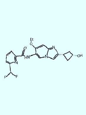 CCOc1cc2nc([C@H]3C[C@@H](O)C3)cn2cc1NC(=O)c1cccc(C(F)F)n1